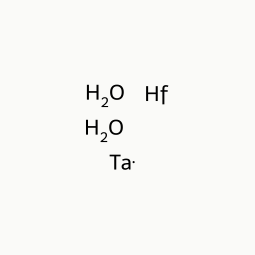 O.O.[Hf].[Ta]